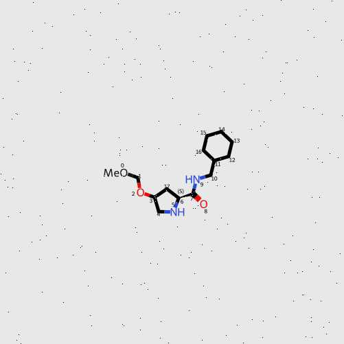 COCOC1CN[C@H](C(=O)NCC2CCCCC2)C1